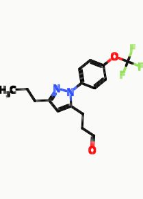 CCCc1cc(CCC=O)n(-c2ccc(OC(F)(F)F)cc2)n1